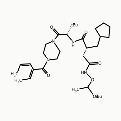 C/C=C\C(=C/C)C(=O)N1CCN(C(=O)[C@@H](NC(=O)[C@@H](CC(=O)NOC(C)OCC(C)C)CC2CCCC2)C(C)(C)C)CC1